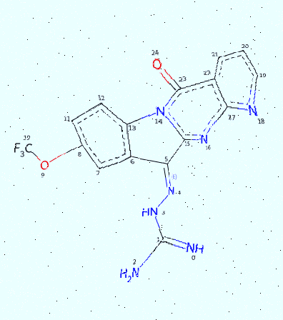 N=C(N)N/N=C1\c2cc(OC(F)(F)F)ccc2-n2c1nc1ncccc1c2=O